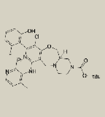 Cc1ccnc(C(C)C)c1Nc1nc(-c2c(O)cccc2F)c(Cl)c2c1CN1CCN(C(=O)OC(C)(C)C)C[C@@H]1CO2